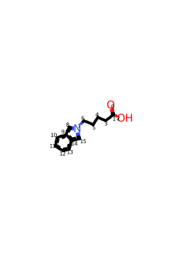 O=C(O)CCCCn1cc2ccccc2c1